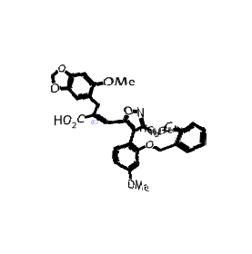 CCCCc1noc(/C=C(\Cc2cc3c(cc2OC)OCO3)C(=O)O)c1-c1ccc(OC)cc1OCc1ccccc1C(=O)O